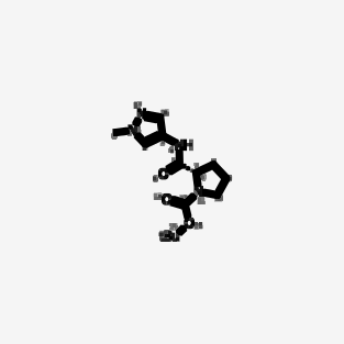 Cn1cc(NC(=O)[C@@H]2CCCN2C(=O)OC(C)(C)C)cn1